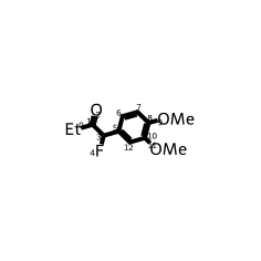 CCC(=O)C(F)c1ccc(OC)c(OC)c1